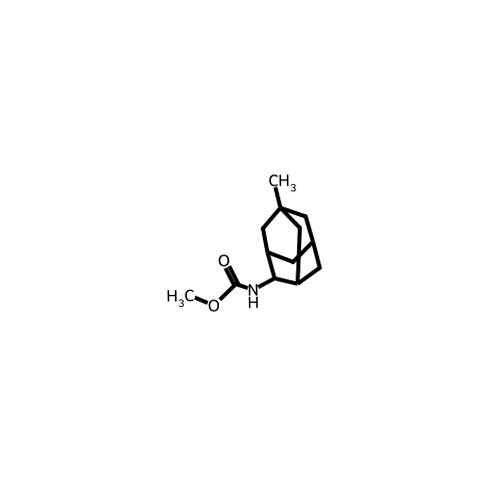 COC(=O)NC1C2CC3CC1CC(C)(C3)C2